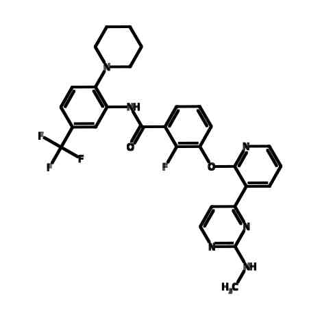 CNc1nccc(-c2cccnc2Oc2cccc(C(=O)Nc3cc(C(F)(F)F)ccc3N3CCCCC3)c2F)n1